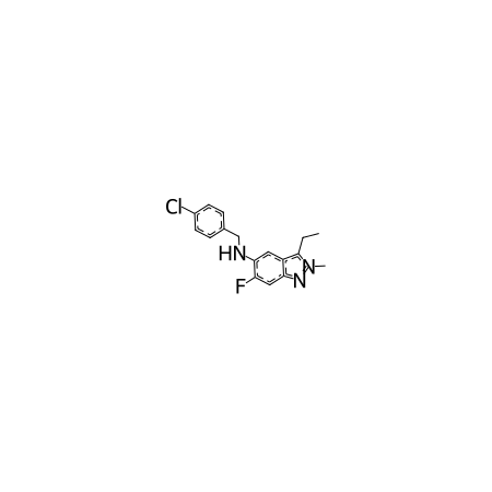 CCc1c2cc(NCc3ccc(Cl)cc3)c(F)cc2nn1C